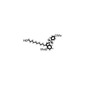 COc1ccc(S(=O)(=O)n2cc(CCCCCCCCCCO)c3c(OC)cccc32)cc1